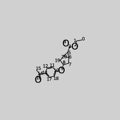 CCOC(=O)C1C2CC(Oc3ccc(C(C)=O)cc3)CC21